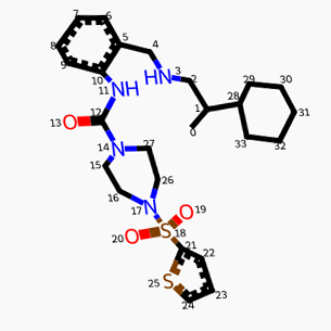 CC(CNCc1ccccc1NC(=O)N1CCN(S(=O)(=O)c2cccs2)CC1)C1CCCCC1